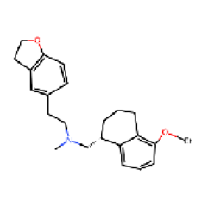 CCOc1cccc2c1CCC[C@H]2CN(C)CCc1ccc2c(c1)CCO2